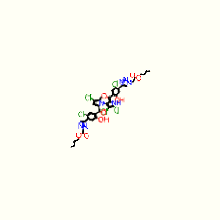 CCCCOC(=O)Cn1cc(-c2cc(O)c(C(=O)c3[nH]c(Cl)c(Cl)c3-n3c(C(=O)c4cc(Cl)c(-c5cn6n5C6C(=O)OCCCC)cc4O)cc(Cl)c3C)cc2Cl)nn1